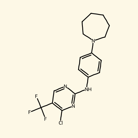 FC(F)(F)c1cnc(Nc2ccc(N3CCCCCC3)cc2)nc1Cl